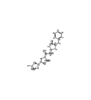 CC1NCC(C2CC(C(=O)NC3CNN(Cc4ccccc4)C3)NO2)O1